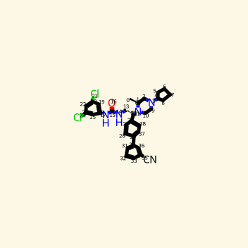 C[C@H]1CN(C2CCCC2)CCN1[C@@H](CNC(=O)Nc1cc(Cl)cc(Cl)c1)c1ccc(-c2cccc(C#N)c2)cc1